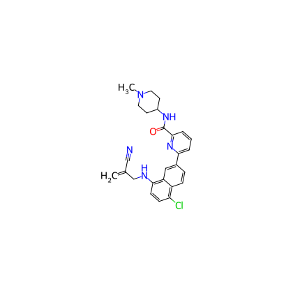 C=C(C#N)CNc1ccc(Cl)c2ccc(-c3cccc(C(=O)NC4CCN(C)CC4)n3)cc12